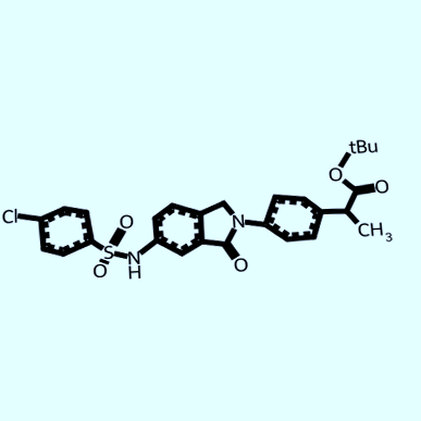 CC(C(=O)OC(C)(C)C)c1ccc(N2Cc3ccc(NS(=O)(=O)c4ccc(Cl)cc4)cc3C2=O)cc1